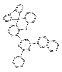 c1ccc(-c2nc(-c3ccc4ccccc4c3)cc(-c3cccc4c3Oc3ccccc3C43c4ccccc4-c4ccccc43)n2)cc1